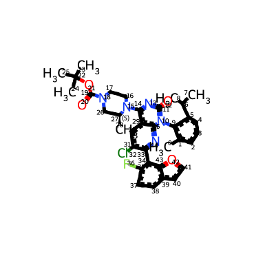 Cc1cccc(C(C)C)c1-n1c(=O)nc(N2CCN(C(=O)OC(C)(C)C)C[C@@H]2C)c2cc(Cl)c(-c3c(F)ccc4ccoc34)nc21